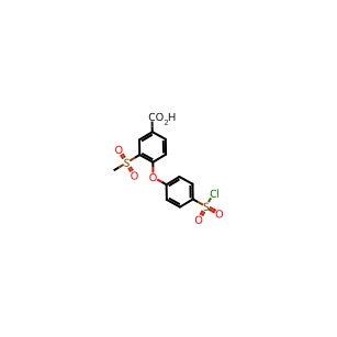 CS(=O)(=O)c1cc(C(=O)O)ccc1Oc1ccc(S(=O)(=O)Cl)cc1